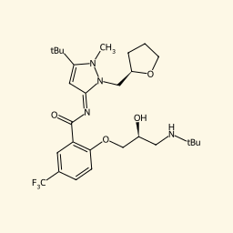 Cn1c(C(C)(C)C)c/c(=N\C(=O)c2cc(C(F)(F)F)ccc2OC[C@@H](O)CNC(C)(C)C)n1C[C@H]1CCCO1